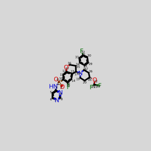 O=S(=O)(Nc1ccncn1)c1cc2c(cc1F)C(N1CC[C@@H](OC(F)F)C[C@H]1c1ccc(F)cc1)CCO2